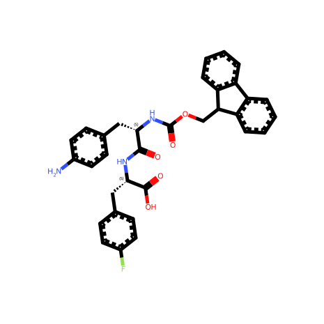 Nc1ccc(C[C@H](NC(=O)OCC2c3ccccc3-c3ccccc32)C(=O)N[C@@H](Cc2ccc(F)cc2)C(=O)O)cc1